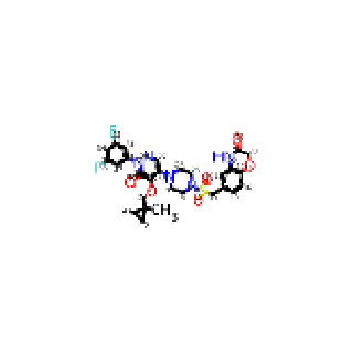 CC1(COc2c(N3CCN(S(=O)(=O)Cc4ccc5c(c4)NC(=O)CO5)CC3)cnn(-c3cc(F)cc(F)c3)c2=O)CC1